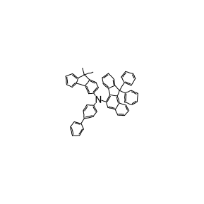 CC1(C)c2ccccc2-c2cc(N(c3ccc(-c4ccccc4)cc3)c3cc4ccccc4c4c3-c3ccccc3C4(c3ccccc3)c3ccccc3)ccc21